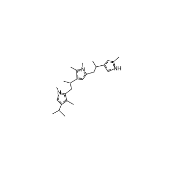 Cc1cc(C(C)Cc2cc(C(C)Cc3c(C)c(C(C)C)cn3C)c(C)n2C)c[nH]1